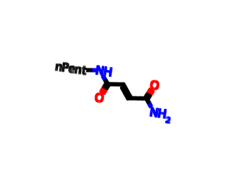 CCCCCNC(=O)C=CC(N)=O